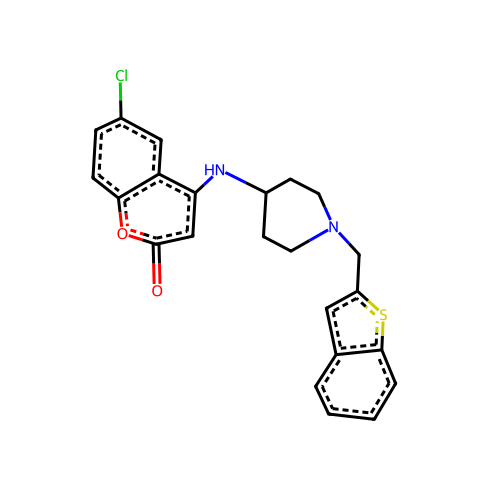 O=c1cc(NC2CCN(Cc3cc4ccccc4s3)CC2)c2cc(Cl)ccc2o1